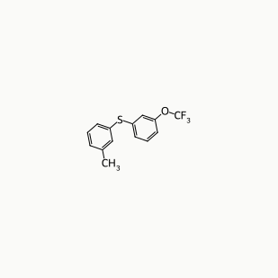 Cc1cccc(Sc2cccc(OC(F)(F)F)c2)c1